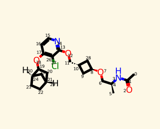 CC(=O)N[C@@H](C)CO[C@H]1C[C@H](COc2nccc(OC3C[C@@H]4CC[C@@H]3C4)c2Cl)C1